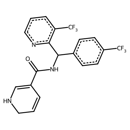 O=C(NC(c1ccc(C(F)(F)F)cc1)c1ncccc1C(F)(F)F)C1=CNCC=C1